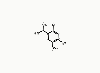 COc1cc(C(C)N)c([N+](=O)[O-])cc1O